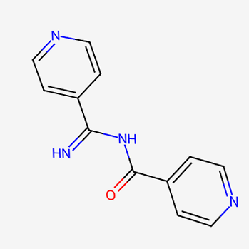 N=C(NC(=O)c1ccncc1)c1ccncc1